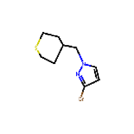 Brc1ccn(CC2CCSCC2)n1